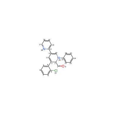 O=CC1C(c2ccccc2Cl)=CC(c2ccccn2)=CN1c1ccccc1